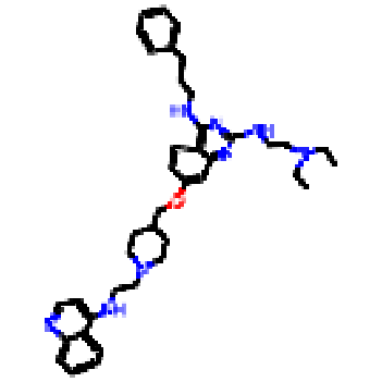 CCN(CC)CCNc1nc(NCCCc2ccccc2)c2ccc(OCC3CCN(CCNc4ccnc5ccccc45)CC3)cc2n1